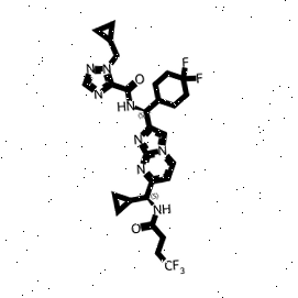 O=C(CCC(F)(F)F)N[C@H](c1ccn2cc([C@@H](NC(=O)c3ncnn3CC3CC3)C3CCC(F)(F)CC3)nc2n1)C1CC1